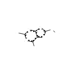 CSc1nc2nc(Cl)nc(C)c2s1